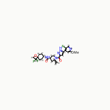 COc1cc(-c2cc(C(=O)N3CC[C@H](C(=O)N[C@H]4CC[C@]5(CC4)OCC5(F)F)CC34CC4)n[nH]2)c(F)cn1